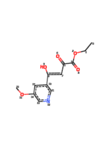 CCOC(=O)C(=O)/C=C(\O)c1cncc(OC)c1